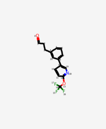 O=CCCc1cccc(-c2ccc(OC(F)(F)F)nc2)c1